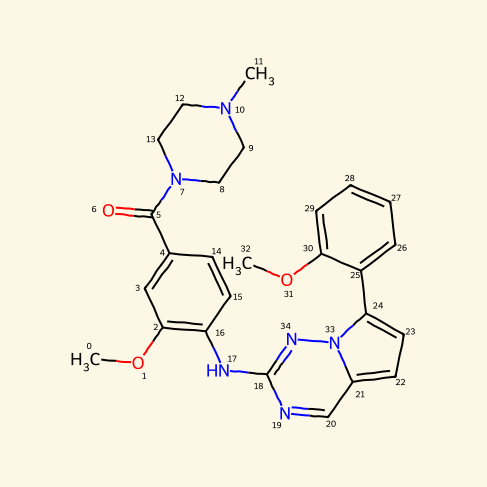 COc1cc(C(=O)N2CCN(C)CC2)ccc1Nc1ncc2ccc(-c3ccccc3OC)n2n1